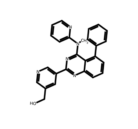 CN(c1ccccn1)c1nc(-c2cncc(CO)c2)nc2cccc(-c3ccccc3)c12